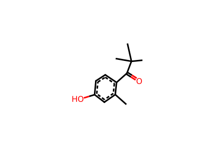 Cc1cc(O)ccc1C(=O)C(C)(C)C